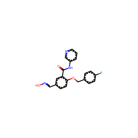 O=C(Nc1cccnc1)c1cc(C=NO)ccc1OCc1ccc(F)cc1